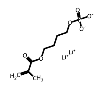 C=C(C)C(=O)OCCCCOP(=O)([O-])[O-].[Li+].[Li+]